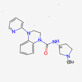 CC(C)(C)N1CC[C@@H](NC(=O)N2CCN(c3ccccn3)c3ccccc32)C1